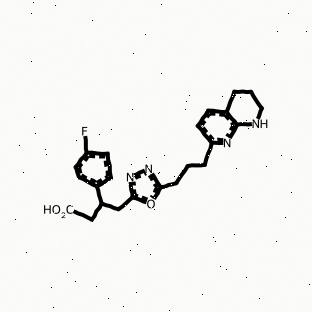 O=C(O)CC(Cc1nnc(CCCc2ccc3c(n2)NCCC3)o1)c1ccc(F)cc1